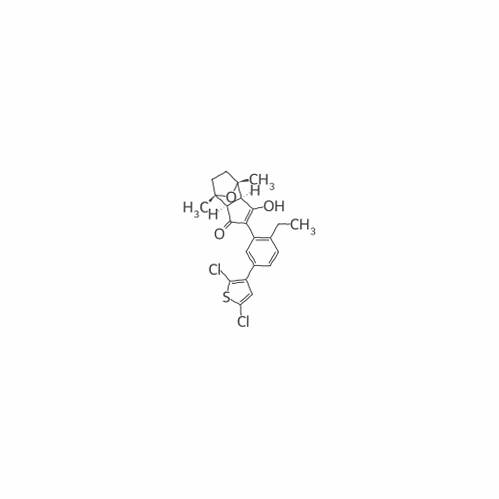 CCc1ccc(-c2cc(Cl)sc2Cl)cc1C1=C(O)[C@H]2[C@@H](C1=O)[C@]1(C)CC[C@@]2(C)O1